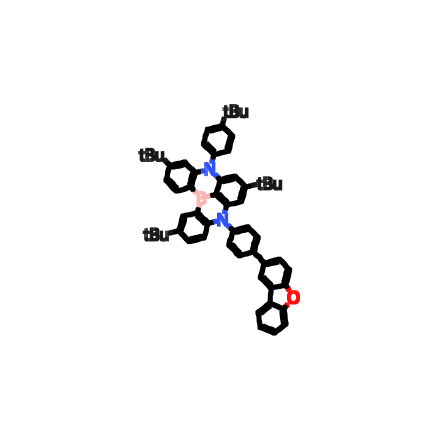 CC(C)(C)c1ccc(N2c3cc(C(C)(C)C)ccc3B3c4cc(C(C)(C)C)ccc4N(c4ccc(-c5ccc6oc7ccccc7c6c5)cc4)c4cc(C(C)(C)C)cc2c43)cc1